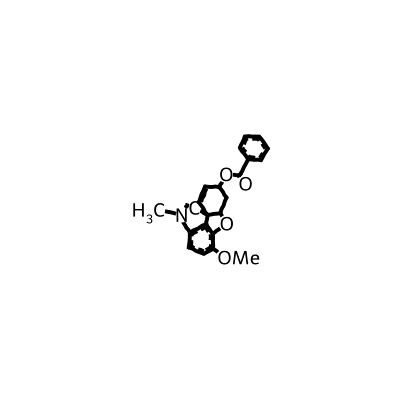 COc1ccc2c3c1OC1CC(OC(=O)c4ccccc4)C=CC31CCN(C)C2